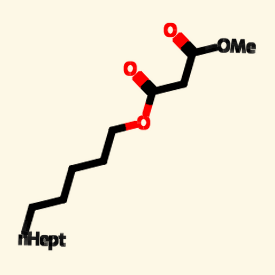 CCCCCCCCCCCCOC(=O)CC(=O)OC